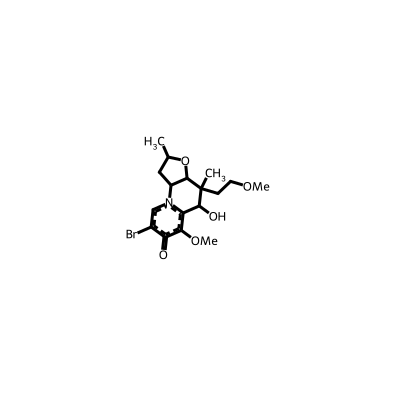 COCCC1(C)C(O)c2c(OC)c(=O)c(Br)cn2C2CC(C)OC21